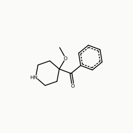 COC1(C(=O)c2ccccc2)CCNCC1